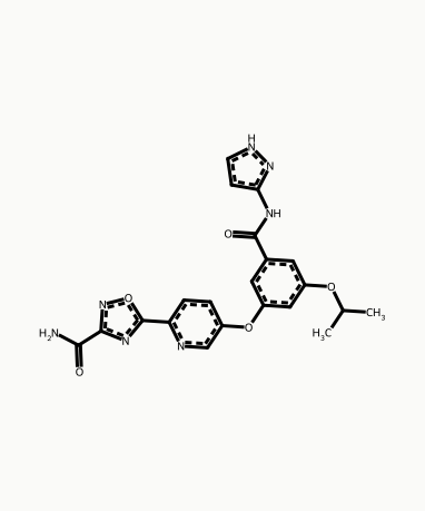 CC(C)Oc1cc(Oc2ccc(-c3nc(C(N)=O)no3)nc2)cc(C(=O)Nc2cc[nH]n2)c1